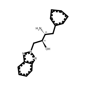 N[C@H](Cc1ccccc1)[C@@H](O)Cn1nc2ccccc2n1